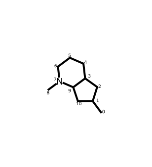 CC1CC2CCCN(C)C2C1